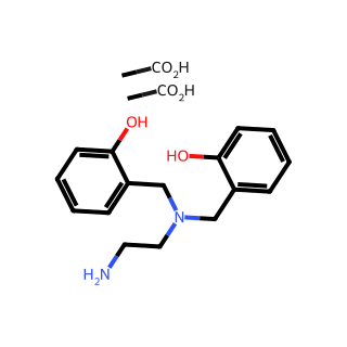 CC(=O)O.CC(=O)O.NCCN(Cc1ccccc1O)Cc1ccccc1O